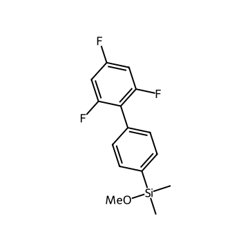 CO[Si](C)(C)c1ccc(-c2c(F)cc(F)cc2F)cc1